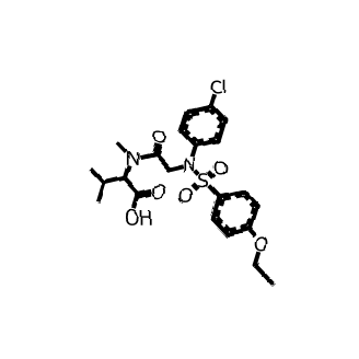 CCOc1ccc(S(=O)(=O)N(CC(=O)N(C)C(C(=O)O)C(C)C)c2ccc(Cl)cc2)cc1